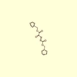 O=C(/N=N/C(=O)C(=O)OCc1ccccc1)OCc1ccccc1